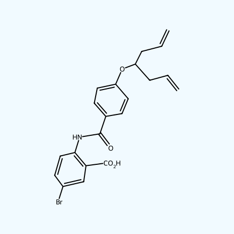 C=CCC(CC=C)Oc1ccc(C(=O)Nc2ccc(Br)cc2C(=O)O)cc1